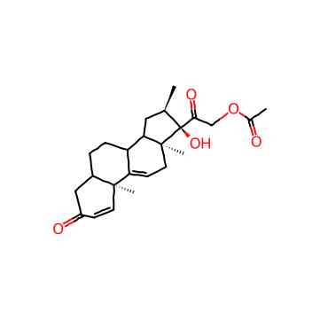 CC(=O)OCC(=O)[C@@]1(O)[C@H](C)CC2C3CCC4CC(=O)C=C[C@]4(C)C3=CC[C@@]21C